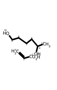 C=CC(=O)O.CC(O)CCCCO